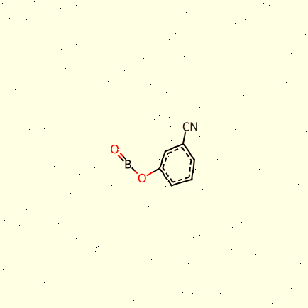 N#Cc1cccc(OB=O)c1